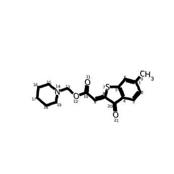 Cc1ccc2c(c1)SC(=CC(=O)OCN1CCCCC1)C2=O